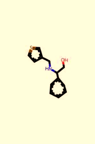 OCC(NCc1ccsc1)c1ccccc1